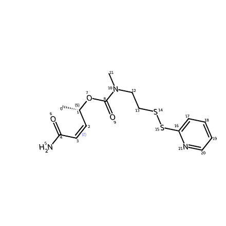 C[C@@H](/C=C\C(N)=O)OC(=O)N(C)CCSSc1ccccn1